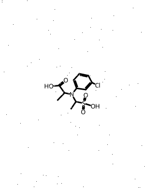 CC(C(=O)O)N(c1cccc(Cl)c1)C(C)S(=O)(=O)O